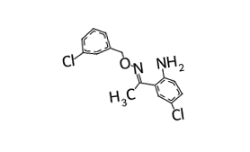 C/C(=N\OCc1cccc(Cl)c1)c1cc(Cl)ccc1N